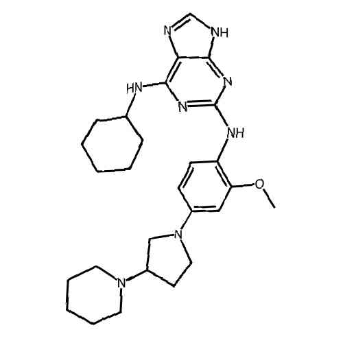 COc1cc(N2CCC(N3CCCCC3)C2)ccc1Nc1nc(NC2CCCCC2)c2nc[nH]c2n1